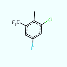 Cc1c(Cl)cc(F)cc1C(F)(F)F